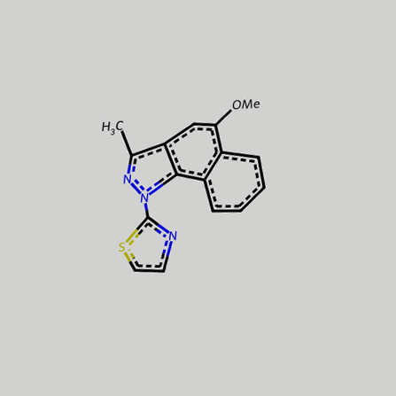 COc1cc2c(C)nn(-c3nccs3)c2c2ccccc12